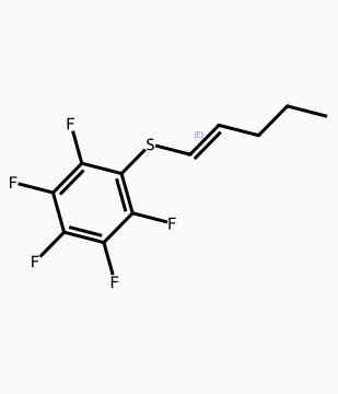 CCC/C=C/Sc1c(F)c(F)c(F)c(F)c1F